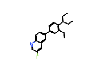 CCc1cc(-c2ccc3ncc(F)cc3c2)ccc1C(CC)CC